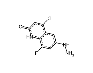 NNc1cc(F)c2[nH]c(=O)cc(Cl)c2c1